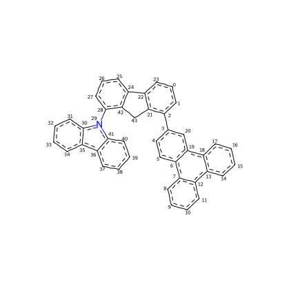 c1cc(-c2ccc3c4ccccc4c4ccccc4c3c2)c2c(c1)-c1cccc(-n3c4ccccc4c4ccccc43)c1C2